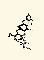 CNS(=O)(=O)Nc1ncc(C2C[C@@H]2C)c(Cc2cc(C(C)=O)c(Nc3ccc(I)cc3F)c(F)c2F)c1F